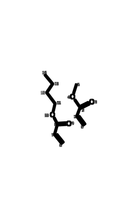 C=CC(=O)OC.C=CC(=O)OCCCC